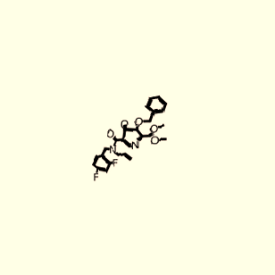 C=CCN(Cc1ccc(F)cc1F)C(=O)C1=CN=C(C(OC)OC)C(OCc2ccccc2)C1=O